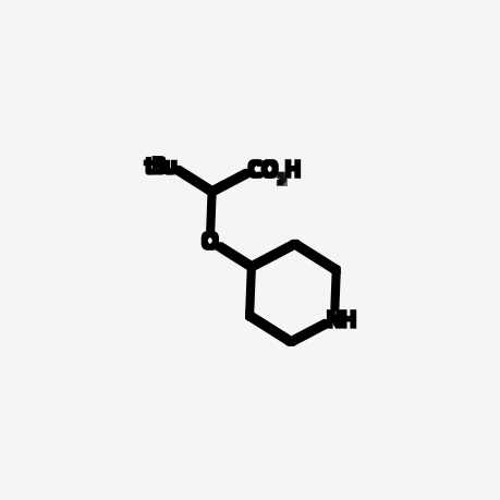 CC(C)(C)C(OC1CCNCC1)C(=O)O